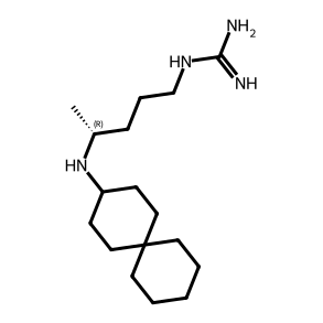 C[C@H](CCCNC(=N)N)NC1CCC2(CCCCC2)CC1